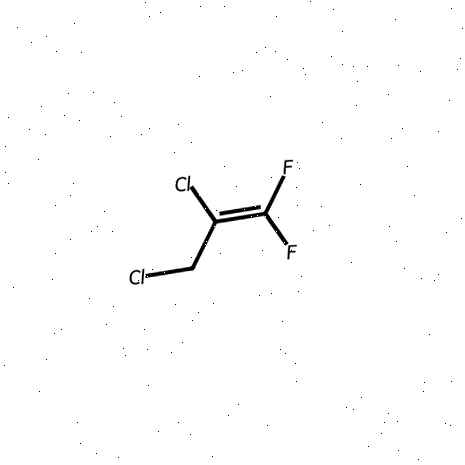 FC(F)=C(Cl)CCl